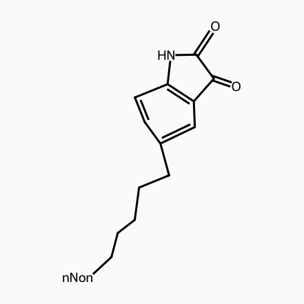 CCCCCCCCCCCCCCc1ccc2c(c1)C(=O)C(=O)N2